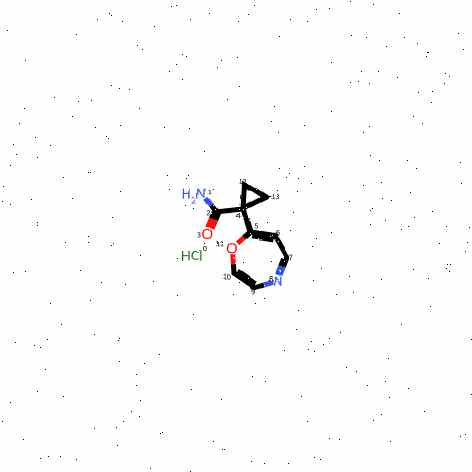 Cl.NC(=O)C1(C2=CC=NC=CO2)CC1